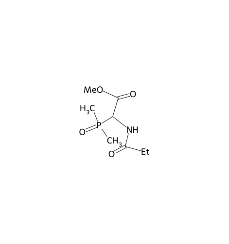 CCC(=O)NC(C(=O)OC)P(C)(C)=O